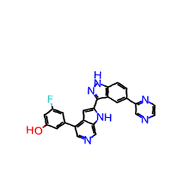 Oc1cc(F)cc(-c2cncc3[nH]c(-c4n[nH]c5ccc(-c6cnccn6)cc45)cc23)c1